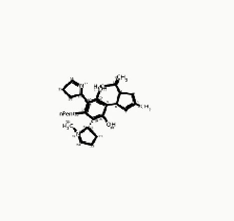 C=C(C)C1CC(C)=CC1c1c(O)c(C2CCC=N2)c(CCCCC)c([C@@H]2CCCN2C)c1O